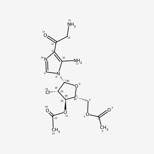 CC(=O)OC[C@H]1O[C@@H](n2cnc(C(=O)CN)c2N)[C@@H](Cl)[C@@H]1OC(C)=O